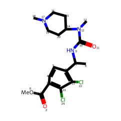 COC(=O)c1ccc(C(C)NC(=O)N(C)C2CCN(C)CC2)c(Cl)c1Cl